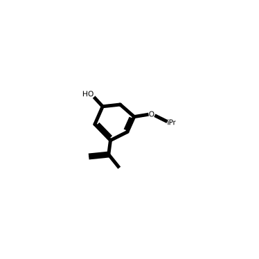 C=C(C)C1=CC(O)CC(OC(C)C)=C1